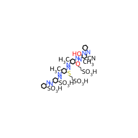 Cc1cc(N=Nc2c(C)c(C#N)c3nc4ccccc4n3c2O)c(OCCCS(=O)(=O)O)cc1N=Nc1cc(C)c(N=Nc2ccc(N=Nc3ccccc3S(=O)(=O)O)cc2S(=O)(=O)O)cc1SCCCS(=O)(=O)O